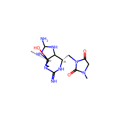 CN1CC(=O)N(C[C@@H]2NC(=N)N3CC[C@](C)(O)C34NC(N)NC24)C1=O